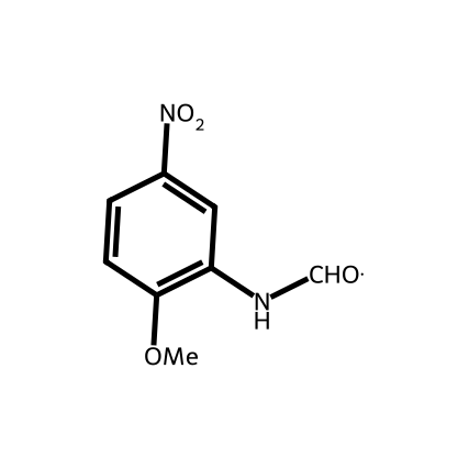 COc1ccc([N+](=O)[O-])cc1N[C]=O